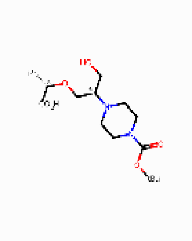 CC(C)[C@H](OC[C@@H](CO)N1CCN(C(=O)OC(C)(C)C)CC1)C(=O)O